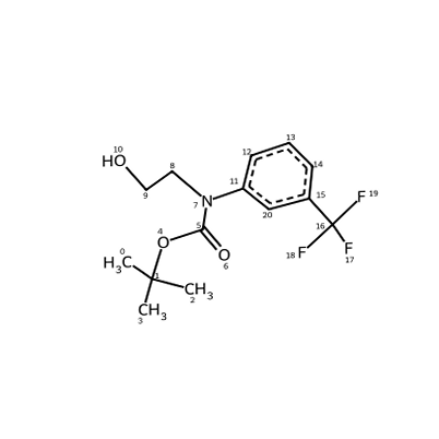 CC(C)(C)OC(=O)N(CCO)c1cccc(C(F)(F)F)c1